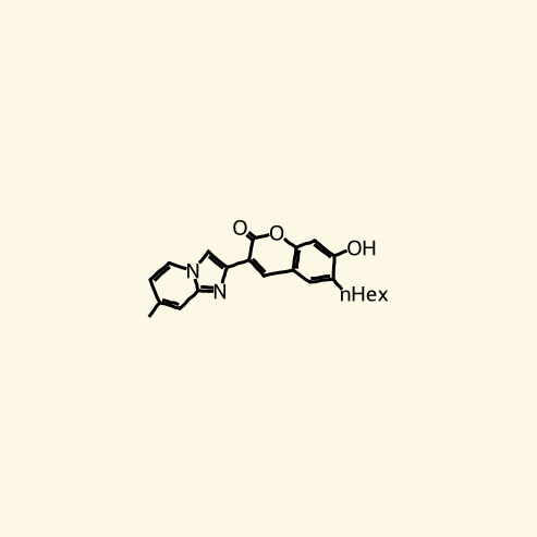 CCCCCCc1cc2cc(-c3cn4ccc(C)cc4n3)c(=O)oc2cc1O